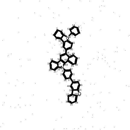 c1ccc(-n2c3ccccc3c3cc(-c4cc5c6ccccc6n(-c6ccc(-c7ccc8oc9ccccc9c8c7)cc6)c5c5ccccc45)ccc32)cc1